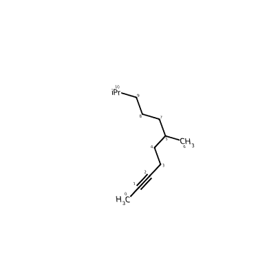 CC#CCCC(C)CCCC(C)C